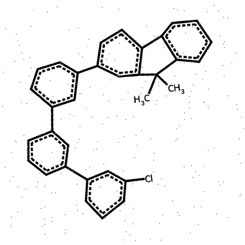 CC1(C)c2ccccc2-c2ccc(-c3cccc(-c4cccc(-c5cccc(Cl)c5)c4)c3)cc21